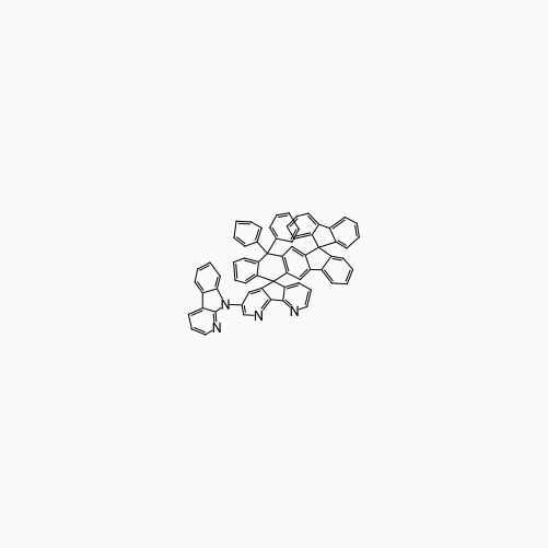 c1ccc(C2(c3ccccc3)c3ccccc3C3(c4cc5c(cc42)C2(c4ccccc4-c4ccccc42)c2ccccc2-5)c2cccnc2-c2ncc(-n4c5ccccc5c5cccnc54)cc23)cc1